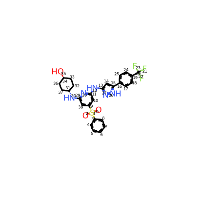 O=S(=O)(c1ccccc1)c1cc(Nc2cc(-c3ccc(C(F)(F)F)cc3)[nH]n2)nc(N[C@H]2CC[C@H](O)CC2)c1